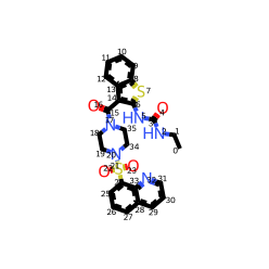 CCNC(=O)Nc1sc2ccccc2c1C(=O)N1CCN(S(=O)(=O)c2cccc3cccnc23)CC1